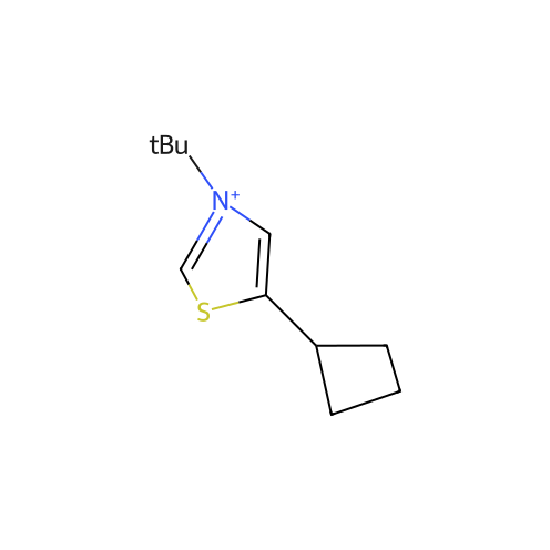 CC(C)(C)[n+]1csc(C2CCC2)c1